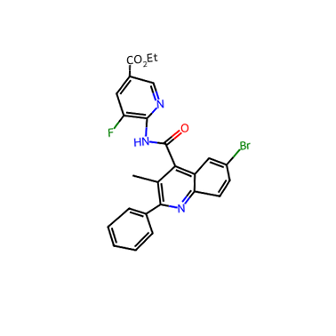 CCOC(=O)c1cnc(NC(=O)c2c(C)c(-c3ccccc3)nc3ccc(Br)cc23)c(F)c1